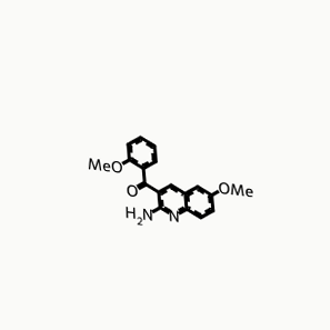 COc1ccc2nc(N)c(C(=O)c3ccccc3OC)cc2c1